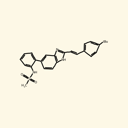 CC(C)(C)c1ccc(C=Cc2nc3cc(-c4ccccc4NS(C)(=O)=O)ccc3[nH]2)cc1